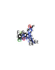 C=CC(=O)N1CCN(C2c3cc(C(F)(F)F)n(-c4c(F)ccc(Cl)c4N)c(=O)c3N=C(N3CC(N(CC)CC)C3)N2C)CC1